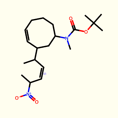 CC(/C=C\C(C)[N+](=O)[O-])C1C=CCCCC(N(C)C(=O)OC(C)(C)C)C1